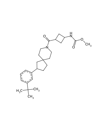 COC(=O)NC1CC(C(=O)N2CCC3(CCC(c4cccc(C(C)(C)C)c4)C3)CC2)C1